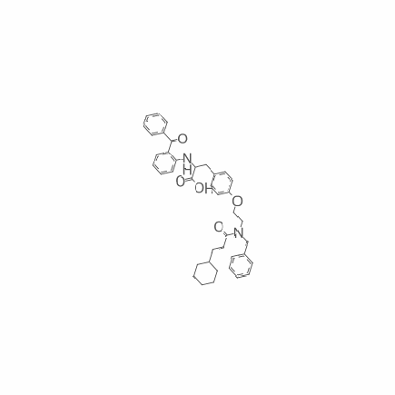 O=C(c1ccccc1)c1ccccc1NC(Cc1ccc(OCCN(Cc2ccccc2)C(=O)CCC2CCCCC2)cc1)C(=O)O